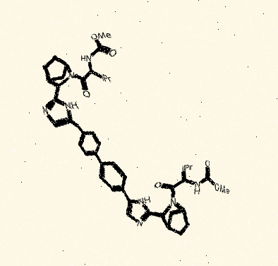 COC(=O)NC(C(=O)N1C2CCC(C2)C1c1ncc(-c2ccc(-c3ccc(-c4cnc(C5C6CCC(C6)N5C(=O)C(NC(=O)OC)C(C)C)[nH]4)cc3)cc2)[nH]1)C(C)C